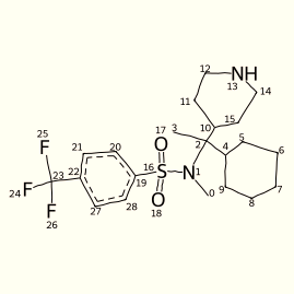 CN(C(C)(C1CCCCC1)C1CCNCC1)S(=O)(=O)c1ccc(C(F)(F)F)cc1